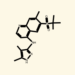 Cc1cc2nccc(Nc3n[nH]c(C)c3C)c2cc1S(=O)(=O)C(C)(C)C